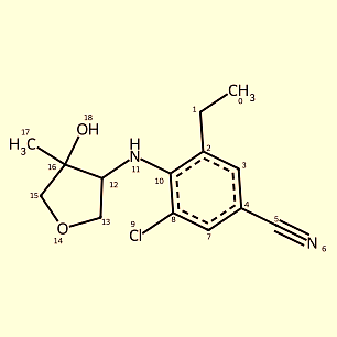 CCc1cc(C#N)cc(Cl)c1NC1COCC1(C)O